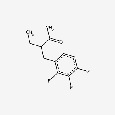 CCC(Cc1ccc(F)c(F)c1F)C(N)=O